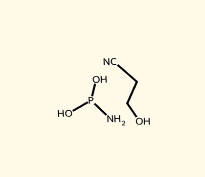 N#CCCO.NP(O)O